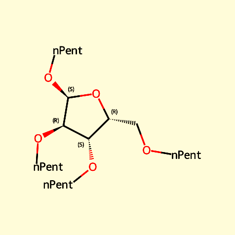 CCCCCOC[C@H]1O[C@H](OCCCCC)[C@H](OCCCCC)[C@H]1OCCCCC